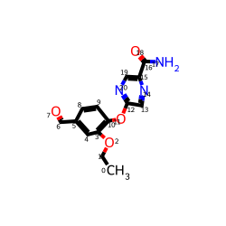 CCOc1cc(C=O)ccc1Oc1cnc(C(N)=O)cn1